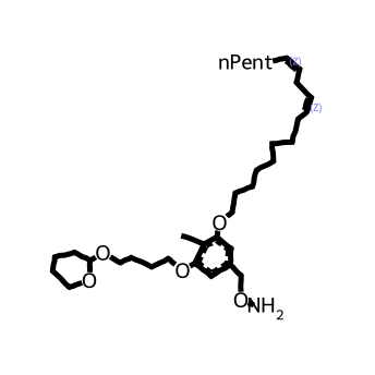 CCCCC/C=C\C/C=C\CCCCCCCCOc1cc(CON)cc(OCCCCOC2CCCCO2)c1C